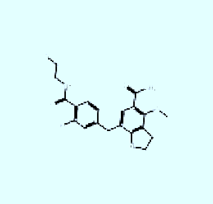 COc1c(C(N)=O)cc(Cc2ccc(C(=O)NCCF)c(F)c2)c2c1CCO2